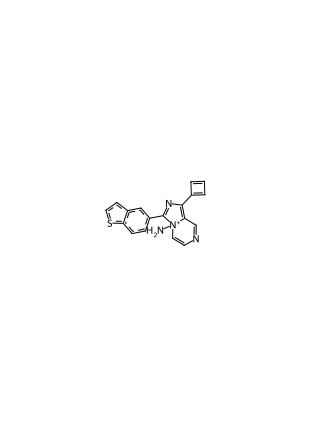 N[N+]12C=CN=CC1=C(C1=CC=C1)N=C2c1ccc2sccc2c1